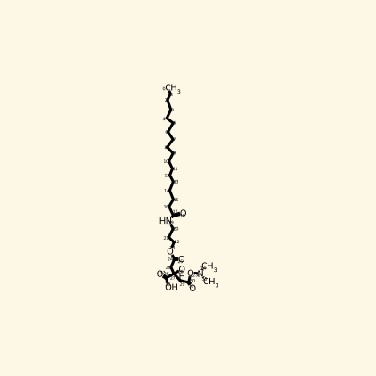 CCCCCCCCCCCCCCCCCC(=O)NCCCOC(=O)CC(O)(CC(=O)ON(C)C)C(=O)O